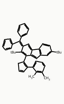 Cc1cccc(C2=C(c3c(C(C)(C)C)c(=C(c4ccccc4)c4ccccc4)cc4c3=[C]c3cc(C(C)(C)C)ccc3-4)CC=C2)c1C